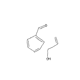 C=CCO.O=Cc1ccccc1